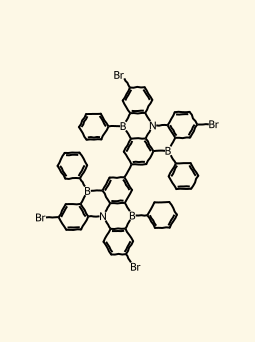 Brc1ccc2c(c1)B(C1=CC=CCC1)c1cc(-c3cc4c5c(c3)B(c3ccccc3)c3cc(Br)ccc3N5c3ccc(Br)cc3B4c3ccccc3)cc3c1N2c1ccc(Br)cc1B3c1ccccc1